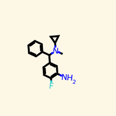 CN(C1CC1)C(c1ccccc1)c1ccc(F)c(N)c1